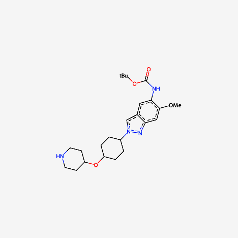 COc1cc2nn(C3CCC(OC4CCNCC4)CC3)cc2cc1NC(=O)OC(C)(C)C